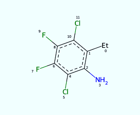 CCc1c(N)c(Cl)c(F)c(F)c1Cl